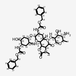 CC1O[C@H](OC2O[C@H]3C[C@H](NC(=O)OCc4ccccc4)[C@@H](O[C@H]4C[C@H](O)[C@H](NC(=O)OCc5ccccc5)CC4N)OC3C3OC(=O)N(C)C23)C(O)[C@@H](O)[C@@H]1N